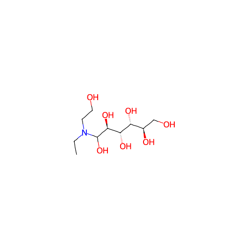 CCN(CCO)C(O)[C@@H](O)[C@@H](O)[C@H](O)[C@H](O)CO